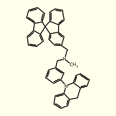 CN(Cc1cccc(N2c3ccccc3Cc3ccccc32)c1)Cc1ccc2c(c1)-c1ccccc1C21c2ccccc2-c2ccccc21